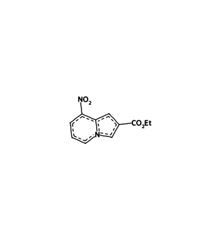 CCOC(=O)c1cc2c([N+](=O)[O-])cccn2c1